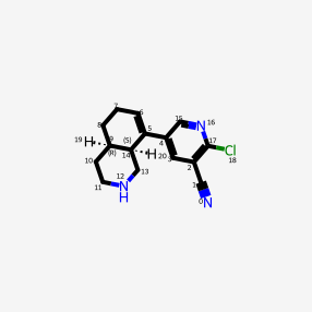 N#Cc1cc(C2=CCC[C@@H]3CCNC[C@H]23)cnc1Cl